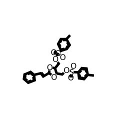 Cc1ccc(S(=O)(=O)OCC2OC(C=Cc3ccccc3)OC2COS(=O)(=O)c2ccc(C)cc2)cc1